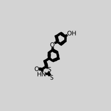 O=C1NC(=S)S/C1=C\c1cccc(Oc2ccc(O)cc2)c1